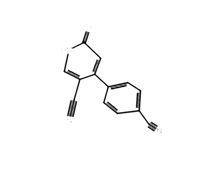 N#Cc1ccc(-c2cc(=O)[nH]cc2C#N)cc1